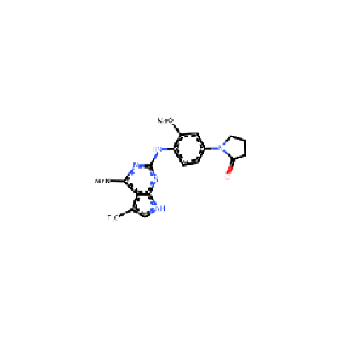 CNc1nc(Nc2ccc(N3CCCC3=O)cc2OC)nc2[nH]cc(C(F)(F)F)c12